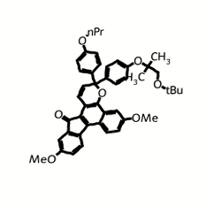 CCCOc1ccc(C2(c3ccc(OC(C)(C)COC(C)(C)C)cc3)C=Cc3c4c(c5ccc(OC)cc5c3O2)-c2ccc(OC)cc2C4=O)cc1